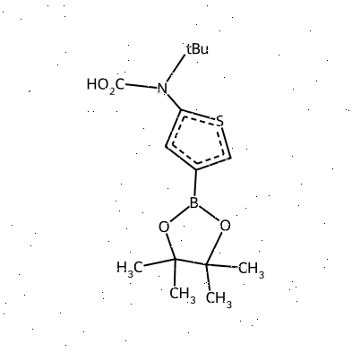 CC(C)(C)N(C(=O)O)c1cc(B2OC(C)(C)C(C)(C)O2)cs1